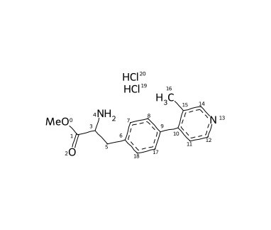 COC(=O)C(N)Cc1ccc(-c2ccncc2C)cc1.Cl.Cl